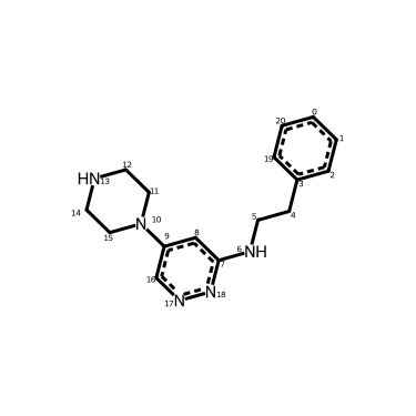 c1ccc(CCNc2cc(N3CCNCC3)cnn2)cc1